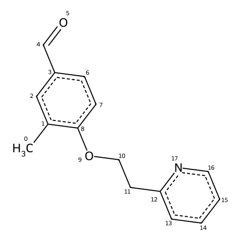 Cc1cc(C=O)ccc1OCCc1ccccn1